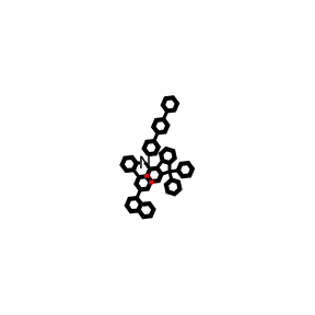 c1ccc(-c2ccc(-c3ccc(N(c4ccccc4-c4cccc(-c5cccc6ccccc56)c4)c4cccc5c4-c4ccccc4C5(c4ccccc4)c4ccccc4)cc3)cc2)cc1